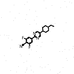 CCC1CCC(c2cnc(-c3cc(F)c(C#N)c(F)c3)nc2)CC1